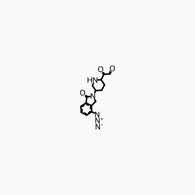 [N-]=[N+]=Nc1cccc2c1CN(C1CCC(C(=O)C=O)NC1)C2=O